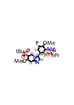 CCCS(=O)(=O)Nc1c(F)c(-c2cnc3cc(OC)c(S(=O)(=O)C(C)(C)C)cn23)cc(F)c1OC